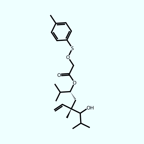 C=C[C@](C)(C[C@@H](OC(=O)COSc1ccc(C)cc1)C(C)C)C(O)C(C)C